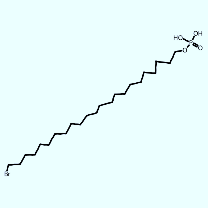 O=P(O)(O)OCCCCCCCCCCCCCCCCCCCCCCCBr